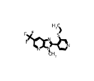 CCSc1cnccc1-c1nc2cc(C(F)(F)F)cnc2n1C